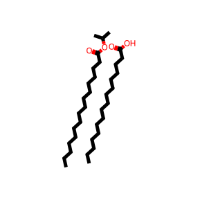 CCCCCCCCCCCCCCCC(=O)O.CCCCCCCCCCCCCCCC(=O)OC(C)C